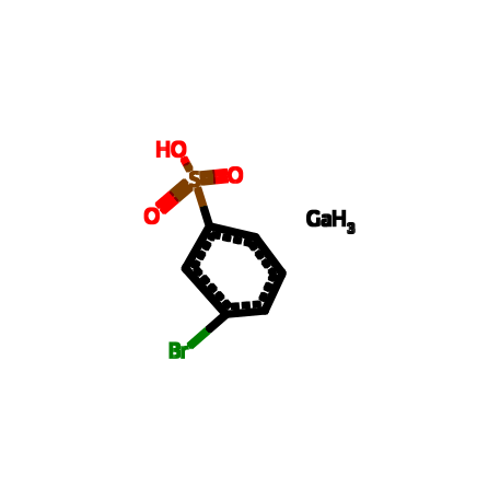 O=S(=O)(O)c1cccc(Br)c1.[GaH3]